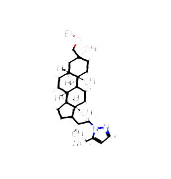 CCOC[C@@]1(O)CC[C@@]2(C)[C@H](CC[C@@H]3[C@@H]2CC[C@]2(C)C([C@@H](C)Cn4nccc4C#N)CC[C@@H]32)C1